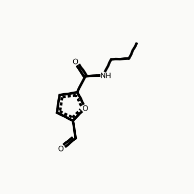 CCCNC(=O)c1ccc(C=O)o1